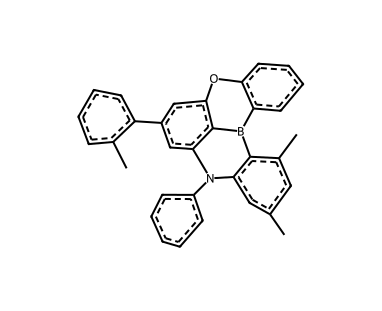 Cc1cc(C)c2c(c1)N(c1ccccc1)c1cc(-c3ccccc3C)cc3c1B2c1ccccc1O3